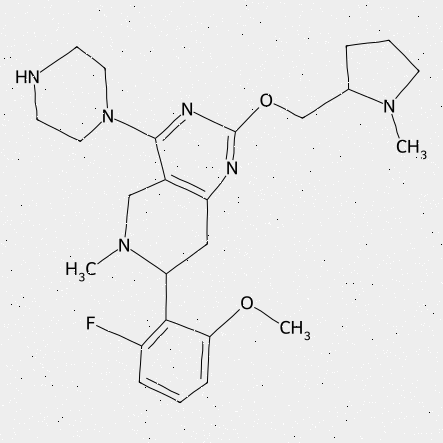 COc1cccc(F)c1C1Cc2nc(OCC3CCCN3C)nc(N3CCNCC3)c2CN1C